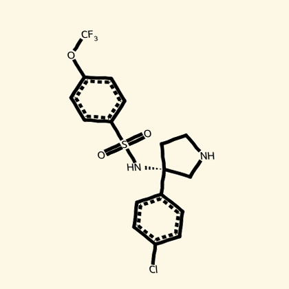 O=S(=O)(N[C@]1(c2ccc(Cl)cc2)CCNC1)c1ccc(OC(F)(F)F)cc1